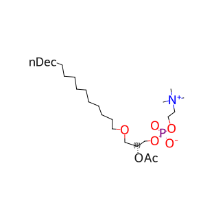 CCCCCCCCCCCCCCCCCCCCOC[C@H](COP(=O)([O-])OCC[N+](C)(C)C)OC(C)=O